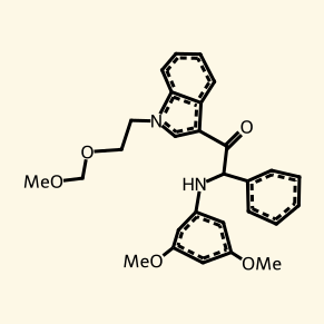 COCOCCn1cc(C(=O)C(Nc2cc(OC)cc(OC)c2)c2ccccc2)c2ccccc21